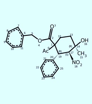 CC(=O)C1(C(=O)OCc2ccccc2)CC[C@@](C)(O)[C@@H]([N+](=O)[O-])[C@@H]1c1ccccc1